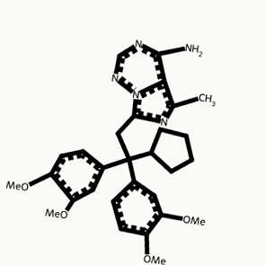 COc1ccc(C(Cc2nc(C)c3c(N)ncnn23)(c2ccc(OC)c(OC)c2)C2CCCC2)cc1OC